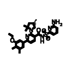 CCOc1cc(-c2ccc(C(=O)NS(=O)(=O)c3cccc(N)n3)c(N3C[C@@H](C)CC3(C)C)n2)cc(C)c1C